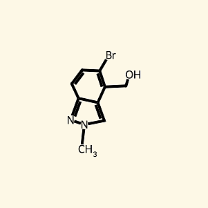 Cn1cc2c(CO)c(Br)ccc2n1